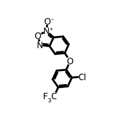 [O-][n+]1onc2cc(Oc3ccc(C(F)(F)F)cc3Cl)ccc21